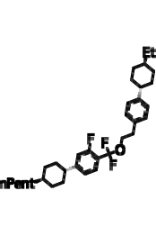 CCCCC[C@H]1CC[C@H](c2ccc(C(F)(F)OCCc3ccc([C@H]4CC[C@H](CC)CC4)cc3)c(F)c2)CC1